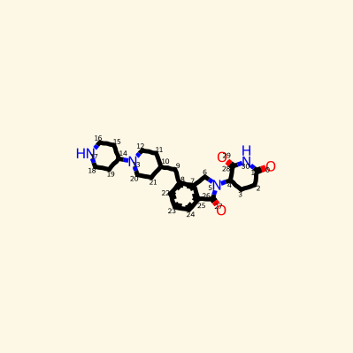 O=C1CCC(N2Cc3c(CC4CCN(C5CCNCC5)CC4)cccc3C2=O)C(=O)N1